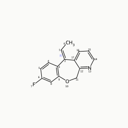 C/C=C1/c2ccc(F)cc2OCc2ncccc21